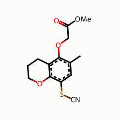 COC(=O)COc1c(C)cc(SC#N)c2c1CCCO2